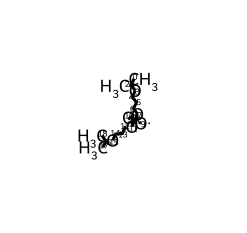 CC(C)OCCCOP([O])(=O)OCCCOC(C)C